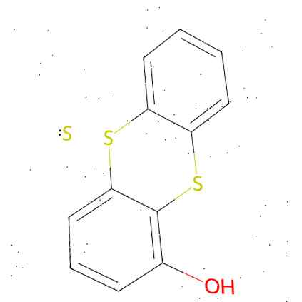 Oc1cccc2c1Sc1ccccc1S2.[S]